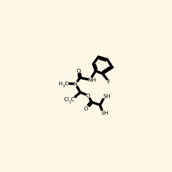 CN(C(=O)Nc1ccccc1F)C(OC(=O)C(S)S)C(Cl)(Cl)Cl